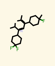 CC(C)=C(/C=C(\C(C)C)C1CCC(F)(F)CC1)C1CCC(C)(F)CC1